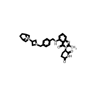 Cc1nc2cccc(NCc3ccc(CN4CC(N5CC6CCC(C5)O6)C4)cc3)c2c(=O)n1C1CCC(=O)NC1=O